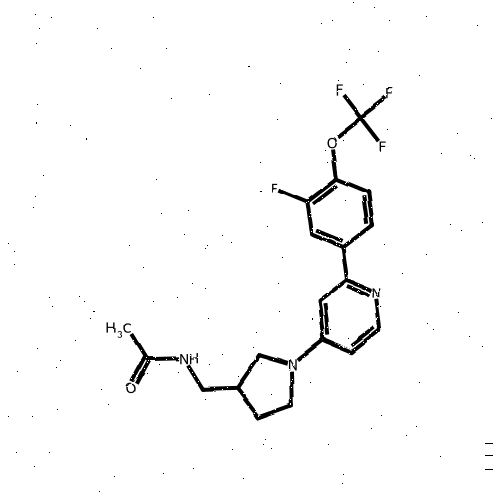 CC(=O)NCC1CCN(c2ccnc(-c3ccc(OC(F)(F)F)c(F)c3)c2)C1